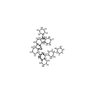 c1ccc(-c2ccc(-c3nc(-c4cccc5c4sc4c5ccc5c4c4ccccc4n5-c4ccccc4)nc4ccccc34)cc2)cc1